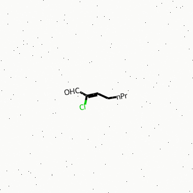 CCCCC=C(Cl)C=O